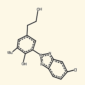 CC(C)(C)c1cc(CCO)cc(-n2nc3ccc(Cl)cc3n2)c1O